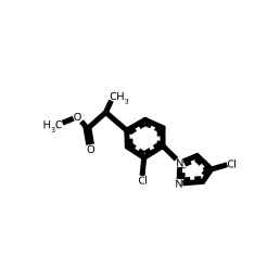 COC(=O)C(C)c1ccc(-n2cc(Cl)cn2)c(Cl)c1